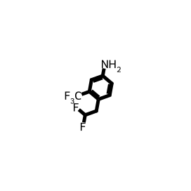 Nc1ccc(CC(F)F)c(C(F)(F)F)c1